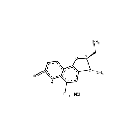 Cc1cc2c(c3ccc(=O)[nH]c13)O[C@@H](CN)[C@@H]2C.Cl